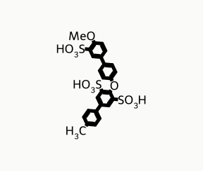 COc1ccc(-c2ccc(Oc3c(S(=O)(=O)O)cc(-c4ccc(C)cc4)cc3S(=O)(=O)O)cc2)cc1S(=O)(=O)O